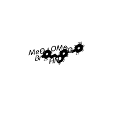 COc1ccc(/C=C/C2NCCc3cc(OCc4ccccc4)c(OC)cc32)cc1Br